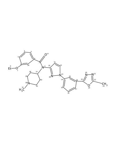 CCOc1cccc(C(=O)N(c2ccn(-c3cccc(-c4nnc(C)o4)c3)n2)C2CCN(C)CC2)c1